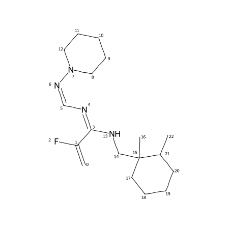 C=C(F)/C(=N\C=N/N1CCCCC1)NCC1(C)CCCCC1C